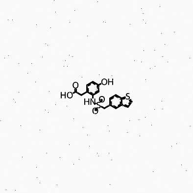 O=C(O)Cc1ccc(O)cc1NS(=O)(=O)Cc1ccc2sccc2c1